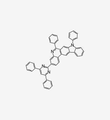 c1ccc(-c2cc(-c3ccccc3)nc(-c3ccc4c(c3)nc(-c3ccccc3)c3cc5c(cc34)c3ccccc3n5-c3ccccc3)n2)cc1